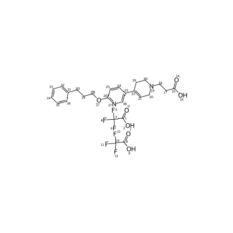 O=C(O)C(F)(F)F.O=C(O)C(F)(F)F.O=C(O)CCN1CC=C(c2ccc(OCCCc3ccccc3)nc2)CC1